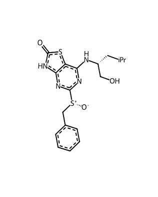 CC(C)C[C@H](CO)Nc1nc([S@+]([O-])Cc2ccccc2)nc2[nH]c(=O)sc12